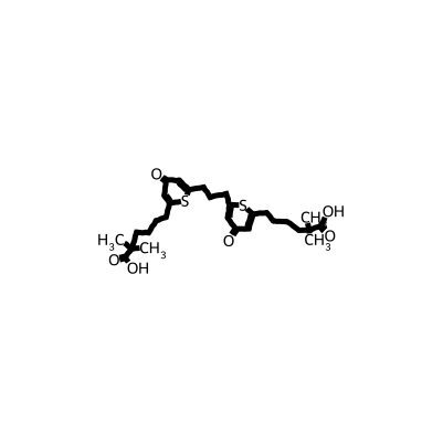 CC(C)(CCCCc1cc(=O)cc(CCCc2cc(=O)cc(CCCCC(C)(C)C(=O)O)s2)s1)C(=O)O